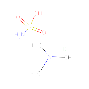 CN(C)C.Cl.NS(=O)(=O)O